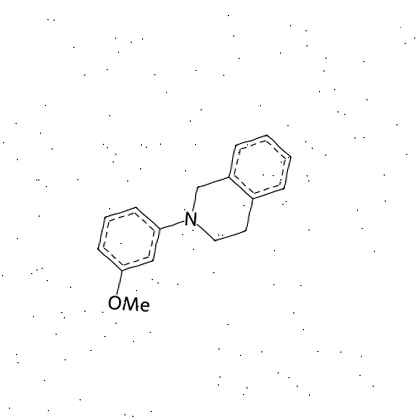 COc1cccc(N2CCc3ccccc3C2)c1